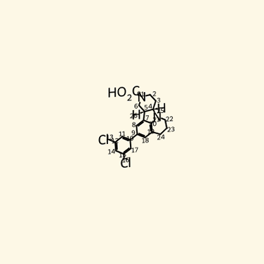 O=C(O)N1CC[C@H]2[C@@H](C1)c1cc(-c3cc(Cl)cc(Cl)c3)cc3c1N2CCC3